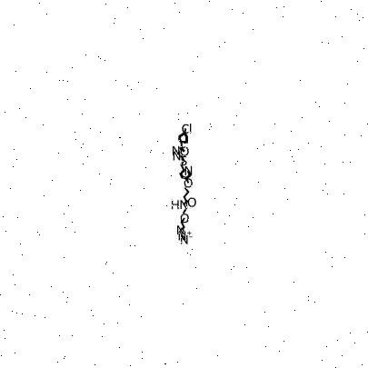 [N-]=[N+]=NCCOCCNC(=O)CCCOc1ccc(CSc2nnc(-c3ccc(Cl)cc3)o2)nc1